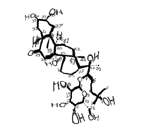 CC(C)(O)CCC(OC1O[C@H](CO)[C@@H](O)[C@H](O)[C@H]1O)[C@](C)(O)[C@H]1CC[C@@]2(O)C3=CC(=O)[C@@H]4C[C@@H](O)[C@@H](O)C[C@]4(C)[C@H]3CC[C@]12C